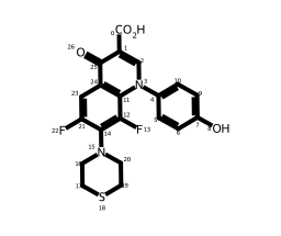 O=C(O)c1cn(-c2ccc(O)cc2)c2c(F)c(N3CCSCC3)c(F)cc2c1=O